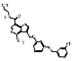 Nc1ncc(C(=O)NCCO)c2scc(COc3cccc(OCc4cccc(Cl)c4)c3)c12